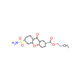 CCCOC(=O)c1ccc2oc3cc(S(N)(=O)=O)ccc3c(=O)c2c1